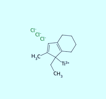 CC[C]1([Ti+3])C(C)=CC2=C1CCCC2.[Cl-].[Cl-].[Cl-]